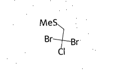 CSCC(Cl)(Br)Br